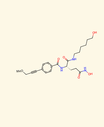 COCC#Cc1ccc(C(=O)N[C@@H](CCC(=O)NO)C(=O)NCCCCCCO)cc1